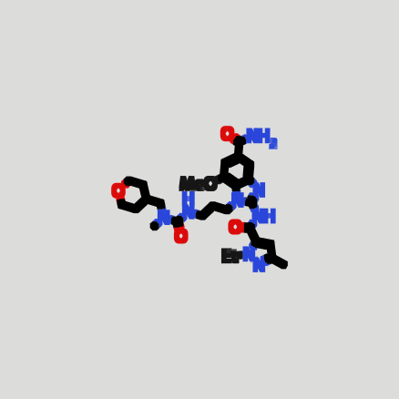 CCn1nc(C)cc1C(=O)Nc1nc2cc(C(N)=O)cc(OC)c2n1CCCNC(=O)N(C)CC1CCOCC1